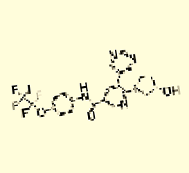 O=C(Nc1ccc(OC(F)(F)C(F)(F)F)cc1)c1cnc(N2CCC(O)C2)c(-c2cncnc2)c1